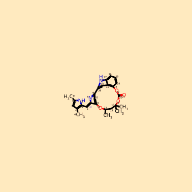 Cc1cc(C)c(/C=C2\N=C3C=C2OC(C)CC(C)(C)OC(=O)Oc2cccc4[nH]c3cc24)[nH]1